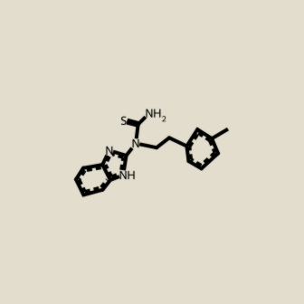 Cc1cccc(CCN(C(N)=S)c2nc3ccccc3[nH]2)c1